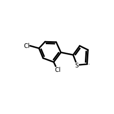 Clc1ccc(-c2cc[c]s2)c(Cl)c1